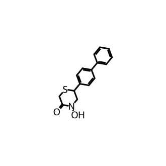 O=C1CSC(c2ccc(-c3ccccc3)cc2)CN1O